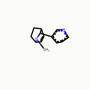 CN1C2C=CC(CC2)C1c1cccnc1